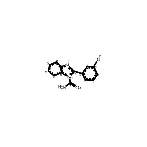 NC(=O)n1c(-c2cccc(Cl)c2)nc2ccccc21